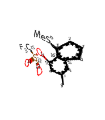 CSc1cccc2cc(C)cc(OS(=O)(=O)C(F)(F)F)c12